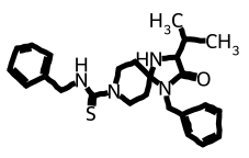 CC(C)C1NC2(CCN(C(=S)NCc3ccccc3)CC2)N(Cc2ccccc2)C1=O